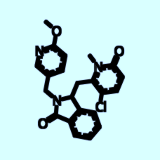 COc1ccc(CN2C(=O)c3ccccc3C2Cc2c(Cl)ccc(=O)n2C)cn1